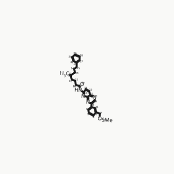 CSOCc1cccc(-c2cnc3ccc(NC(=O)CCCC(C)CCCc4ccccc4)nc3n2)c1